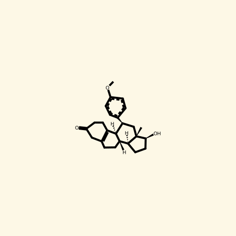 COc1ccc([C@H]2C[C@]3(C)[C@@H](O)CC[C@H]3[C@@H]3CCC4=C(CCC(=O)C4)[C@H]32)cc1